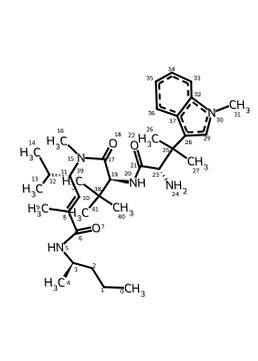 CCC[C@@H](C)NC(=O)/C(C)=C/[C@H](C(C)C)N(C)C(=O)[C@@H](NC(=O)[C@@H](N)C(C)(C)c1cn(C)c2ccccc12)C(C)(C)C